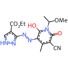 CCOC(=O)c1c[nH]nc1N=Nc1c(C)c(C#N)c(=O)n(C(C)OC)c1O